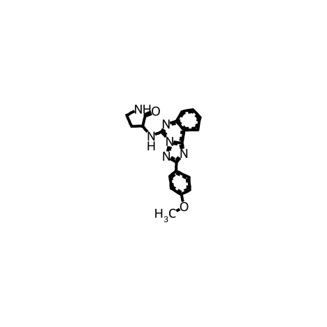 COc1ccc(-c2nc3c4ccccc4nc(NC4CCNC4=O)n3n2)cc1